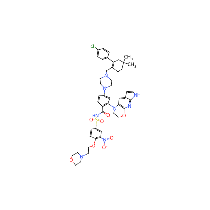 CC1(C)CCC(CN2CCN(c3ccc(C(=O)NS(=O)(=O)c4ccc(OCCN5CCOCC5)c([N+](=O)[O-])c4)c(N4CCOc5nc6[nH]ccc6cc54)c3)CC2)=C(c2ccc(Cl)cc2)C1